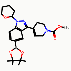 CC(C)(C)OC(=O)N1CC=C(c2nn(C3CCCCO3)c3ccc(B4OC(C)(C)C(C)(C)O4)cc23)CC1